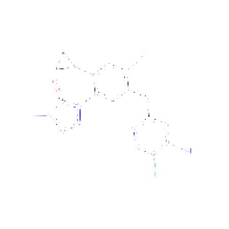 Cn1nnn(-c2cc(Nc3ncc(F)c(N)n3)c(F)cc2C2CC2)c1=O